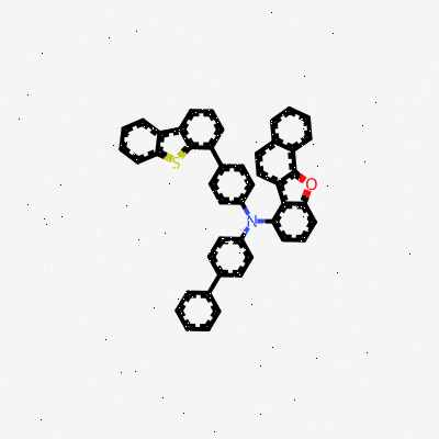 c1ccc(-c2ccc(N(c3ccc(-c4cccc5c4sc4ccccc45)cc3)c3cccc4oc5c6ccccc6ccc5c34)cc2)cc1